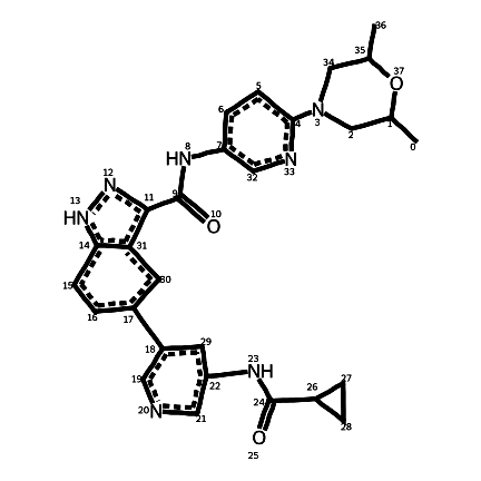 CC1CN(c2ccc(NC(=O)c3n[nH]c4ccc(-c5cncc(NC(=O)C6CC6)c5)cc34)cn2)CC(C)O1